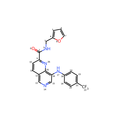 O=C(NCc1ccco1)c1ccc2cncc(Nc3ccc(C(F)(F)F)cc3)c2n1